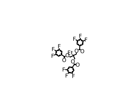 CCC(COC(=O)c1cc(F)c(F)c(F)c1)(COC(=O)c1cc(F)c(F)c(F)c1)COC(=O)c1cc(F)c(F)c(F)c1